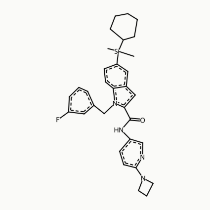 C[Si](C)(c1ccc2c(c1)cc(C(=O)Nc1ccc(N3CCC3)nc1)n2Cc1cccc(F)c1)C1CCCCC1